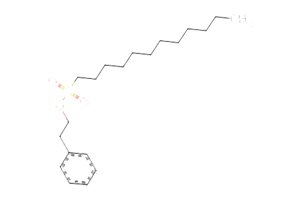 CCCCCCCCCCCCS(=O)(=O)OCCc1ccccc1